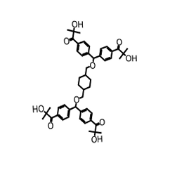 CC(C)(O)C(=O)c1ccc(C(OCC2CCC(COC(c3ccc(C(=O)C(C)(C)O)cc3)c3ccc(C(=O)C(C)(C)O)cc3)CC2)c2ccc(C(=O)C(C)(C)O)cc2)cc1